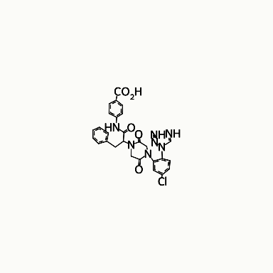 N=CN(N=N)c1ccc(Cl)cc1N1CC(=O)N(C(Cc2ccccc2)C(=O)Nc2ccc(C(=O)O)cc2)CC1=O